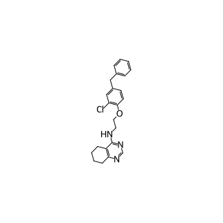 Clc1cc(Cc2ccccc2)ccc1OCCNc1ncnc2c1CCCC2